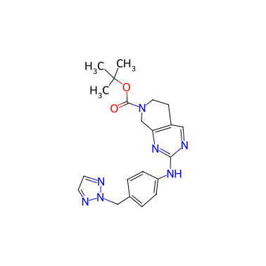 CC(C)(C)OC(=O)N1CCc2cnc(Nc3ccc(Cn4nccn4)cc3)nc2C1